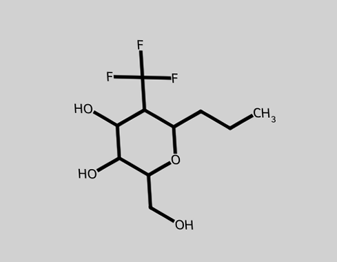 CCCC1OC(CO)C(O)C(O)C1C(F)(F)F